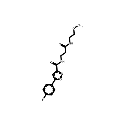 COCCNC(=O)CCNC(=O)c1cc(-c2ccc(F)cc2)on1